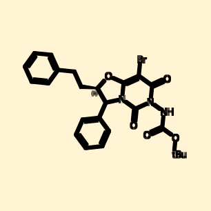 CC(C)(C)OC(=O)Nn1c(=O)c(Br)c2n(c1=O)C(c1ccccc1)[C@@H](CCc1ccccc1)O2